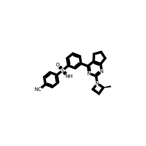 C[C@H]1CCN1c1nc2c(c(-c3cccc(S(=N)(=O)c4ccc(C#N)cc4)c3)n1)CCC2